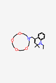 CCN1c2ccccc2C(CN2CCOCCOCCOCCOCC2)=CC1(C)C